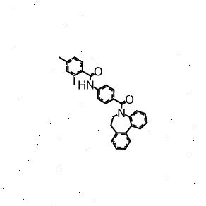 Cc1ccc(C(=O)Nc2ccc(C(=O)N3CCc4ccccc4-c4ccccc43)cc2)c(C)c1